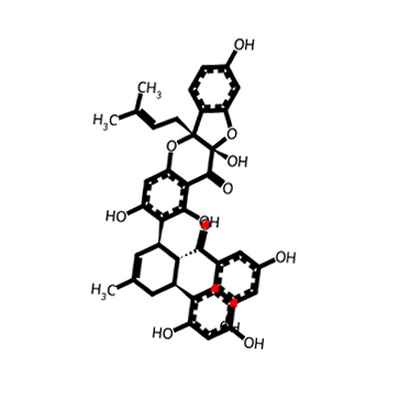 CC(C)=CC[C@]12Oc3cc(O)c([C@@H]4C=C(C)C[C@H](c5ccc(O)cc5O)[C@H]4C(=O)c4cc(O)cc(O)c4)c(O)c3C(=O)[C@@]1(O)Oc1cc(O)ccc12